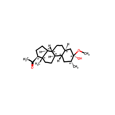 CO[C@]1(O)C[C@@H]2CC[C@@H]3[C@H](CC[C@]4(C)[C@@H](C(C)=O)CC[C@@H]34)[C@H]2C[C@H]1C